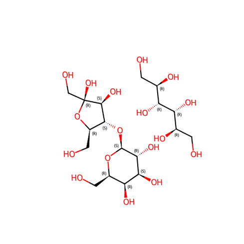 OC[C@@H](O)[C@@H](O)[C@H](O)[C@H](O)CO.OC[C@H]1O[C@@H](O[C@@H]2[C@@H](CO)O[C@](O)(CO)[C@H]2O)[C@H](O)[C@@H](O)[C@H]1O